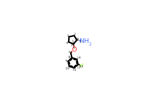 N[C@H]1CCC[C@@H]1OCc1cccc(F)c1